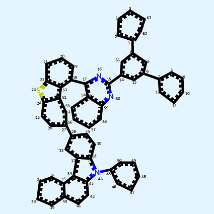 c1ccc(-c2cc(-c3ccccc3)cc(-c3nc(-c4cccc5sc6ccc(-c7ccc8c(c7)c7c9ccccc9ccc7n8-c7ccccc7)cc6c45)c4ccccc4n3)c2)cc1